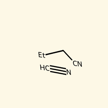 C#N.CCCC#N